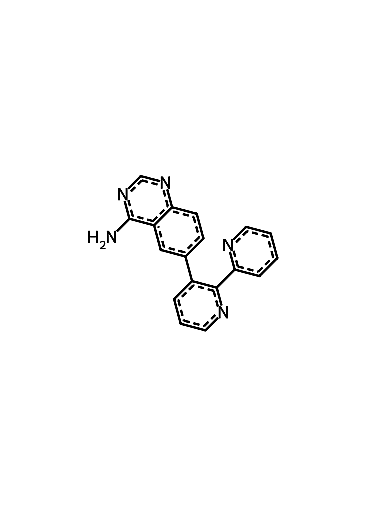 Nc1ncnc2ccc(-c3cccnc3-c3ccccn3)cc12